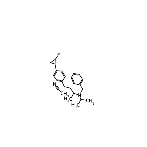 CC#N.CC(C)N(Cc1ccccc1)C(C)CCc1ccc(C2CC2F)cc1